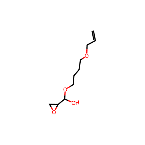 C=CCOCCCCOC(O)C1CO1